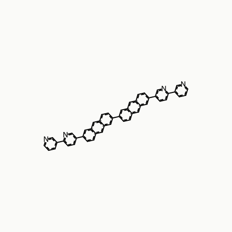 c1cncc(-c2ccc(-c3ccc4cc5cc(-c6ccc7cc8cc(-c9ccc(-c%10cccnc%10)nc9)ccc8cc7c6)ccc5cc4c3)cn2)c1